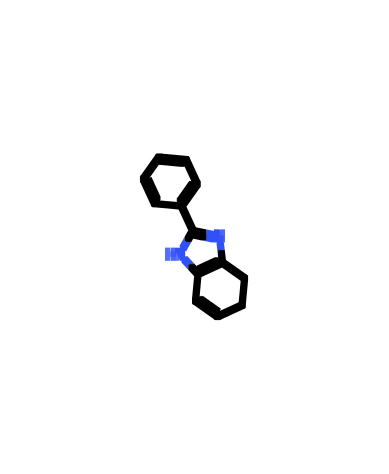 C1=Cc2[nH]c(-c3ccccc3)nc2CC1